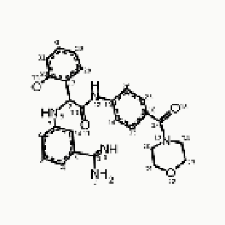 N=C(N)c1cccc(NC(C(=O)Nc2ccc(C(=O)N3CCOCC3)cc2)c2ccccc2[O])c1